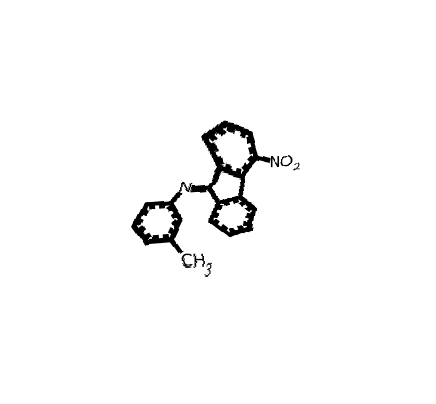 Cc1cccc(/N=C2\c3ccccc3-c3c2cccc3[N+](=O)[O-])c1